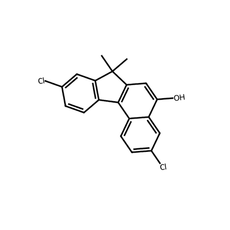 CC1(C)c2cc(Cl)ccc2-c2c1cc(O)c1cc(Cl)ccc21